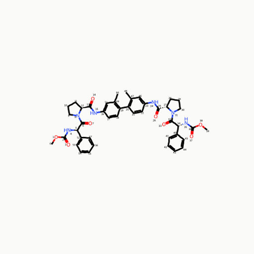 COC(=O)N[C@@H](C(=O)N1CCC[C@H]1C(=O)Nc1ccc(-c2ccc(NC(=O)[C@@H]3CCCN3C(=O)[C@H](NC(=O)OC)c3ccccc3)cc2C)c(C)c1)c1ccccc1